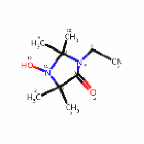 CC1(C)C(=O)N(CC#N)C(C)(C)N1O